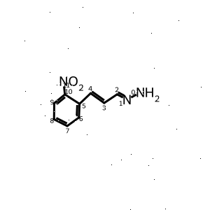 NN=CC=Cc1ccccc1[N+](=O)[O-]